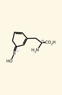 N[C@@H](CC1=C/C(=B/O)CC=C1)C(=O)O